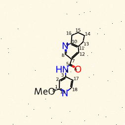 COc1cc(NC(=O)c2cnc3c(c2)CCCC3)ccn1